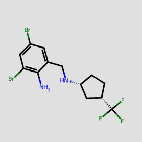 Nc1c(Br)cc(Br)cc1CN[C@@H]1CC[C@H](C(F)(F)F)C1